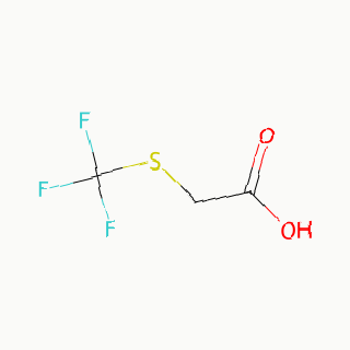 O=C(O)CSC(F)(F)F